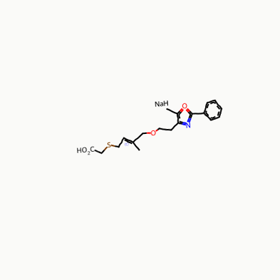 C/C(=C\CSCC(=O)O)COCCc1nc(-c2ccccc2)oc1C.[NaH]